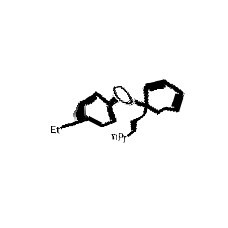 CCCC=CC1(Oc2ccc(CC)cc2)C=CC=CC1